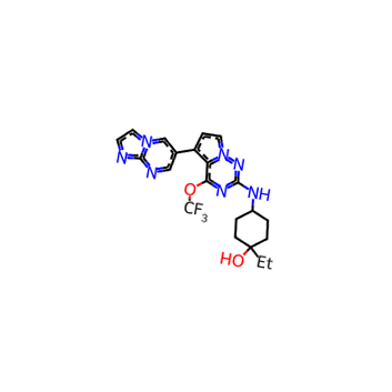 CCC1(O)CCC(Nc2nc(OC(F)(F)F)c3c(-c4cnc5nccn5c4)ccn3n2)CC1